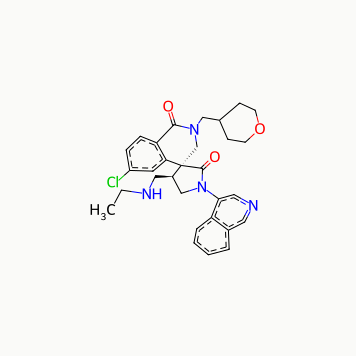 CCNC[C@@H]1CN(c2cncc3ccccc23)C(=O)[C@@]12CN(CC1CCOCC1)C(=O)c1ccc(Cl)cc12